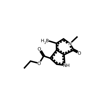 Bc1cn(C)c(=O)c2[nH]cc(C(=O)OCC)c12